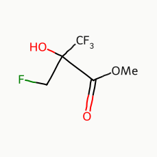 COC(=O)C(O)(CF)C(F)(F)F